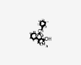 CCC(=CC(=O)O)C1CCCCN1C(=O)OCc1ccccc1